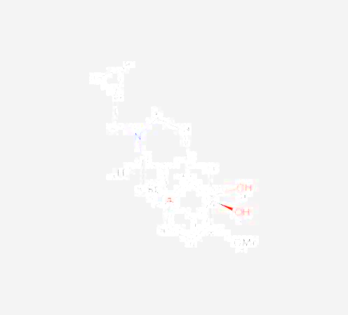 CC[C@@]12CC[C@H](O)C[C@@]13CCN(CC1CC1)[C@@H]2Cc1ccc(OC)c(O)c13